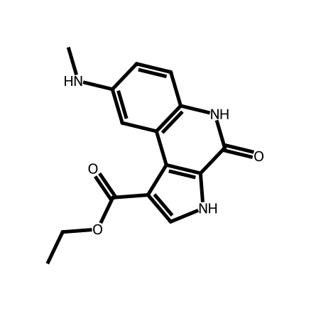 CCOC(=O)c1c[nH]c2c(=O)[nH]c3ccc(NC)cc3c12